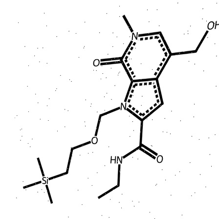 CCNC(=O)c1cc2c(CO)cn(C)c(=O)c2n1COCC[Si](C)(C)C